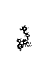 CC(=O)O[C@@H](C(=O)NCc1nc(Cc2ccccc2C)cs1)[C@@H](OC(C)=O)C(=O)N1CCCC1c1ccc(F)cc1